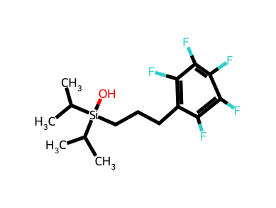 CC(C)[Si](O)(CCCc1c(F)c(F)c(F)c(F)c1F)C(C)C